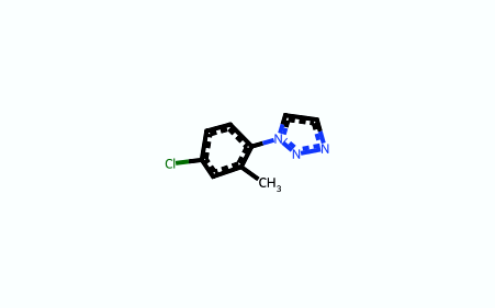 Cc1cc(Cl)ccc1-n1ccnn1